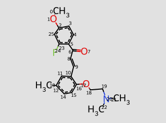 COc1ccc(C(=O)C=Cc2cc(C)ccc2OCCN(C)C)c(F)c1